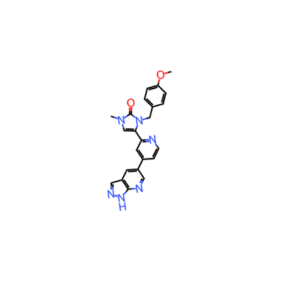 COc1ccc(Cn2c(-c3cc(-c4cnc5[nH]ncc5c4)ccn3)cn(C)c2=O)cc1